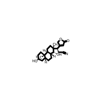 C[C@]12CC[C@H](O)C[C@H]1CC[C@H]1[C@@H](O)[C@@](C)([C@H](CC#N)C3=CC(=O)OC3)CC[C@@H]12